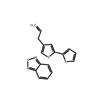 C=CCc1csc(-c2cccs2)c1.c1ccc2nsnc2c1